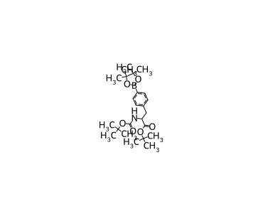 CC(C)(C)OC(=O)NC(Cc1ccc(B2OC(C)(C)C(C)(C)O2)cc1)C(=O)OC(C)(C)C